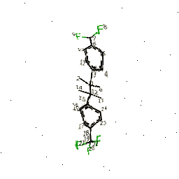 CC(C)(c1ccc(C(F)F)cc1)C(C)(C)c1ccc(C(F)(F)F)cc1